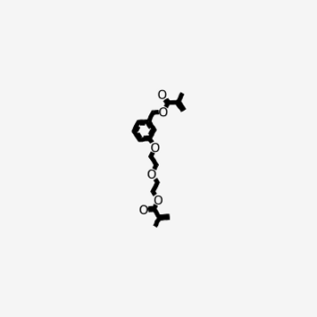 C=C(C)C(=O)OCCOCCOc1cccc(COC(=O)C(=C)C)c1